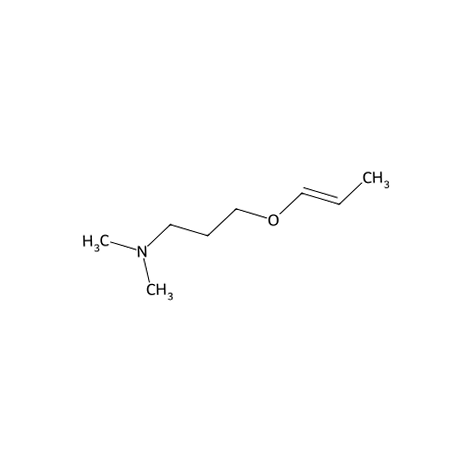 CC=COCCCN(C)C